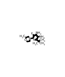 C[C@@H]1CN(c2nc(C(C)(C)C)c(N)c(N)c2F)CCO1